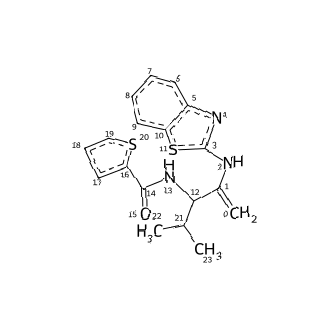 C=C(Nc1nc2ccccc2s1)C(NC(=O)c1cccs1)C(C)C